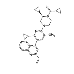 C=Cc1cc(-c2cc(N)c(N3CCN(C(=O)C4CC4)[C@H](C4CC4)C3)nc2C2CC2)c2ccccc2n1